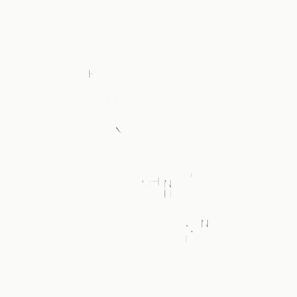 O=C(NC[C@]1(O)CC[C@H](CCOc2ccccc2F)CC1)c1cn[nH]c1